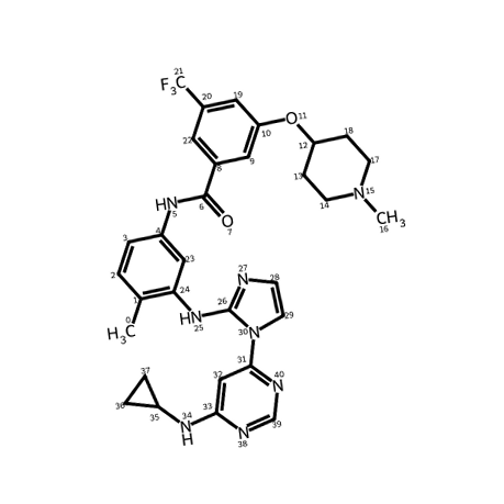 Cc1ccc(NC(=O)c2cc(OC3CCN(C)CC3)cc(C(F)(F)F)c2)cc1Nc1nccn1-c1cc(NC2CC2)ncn1